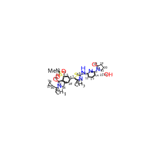 CNS(=O)(=O)c1cc(-c2sc(Nc3cccc(N4C(=O)CC[C@@H]4CO)n3)nc2C)cc2c1C(=O)N([C@@H](C)C1CC1)C2